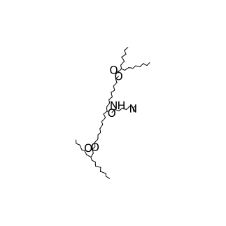 CCCCCCCCC(CCCCCC)CC(=O)OCCCCCCCCCC(CCCCCCCCCOC(=O)C(CCCCCC)CCCCCCCC)OC(=N)CCCCN(C)C